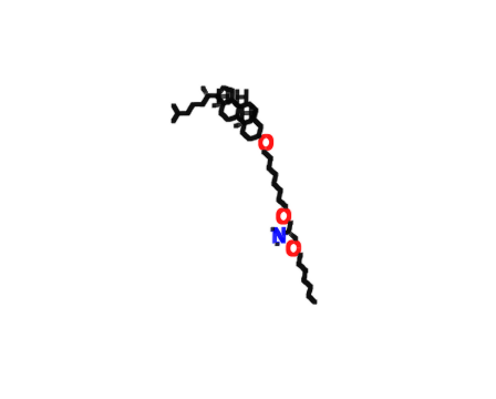 CCCCCCCOC[C@H](COCCCCCCCCO[C@H]1CC[C@@]2(C)C(=CC[C@H]3[C@@H]4CC[C@H]([C@H](C)CCCC(C)C)[C@@]4(C)CC[C@@H]32)C1)N(C)C